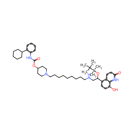 CC(C)(C)[Si](C)(C)OC(CNCCCCCCCCCN1CCC(OC(=O)Nc2ccccc2C2CCCCC2)CC1)c1ccc(O)c2[nH]c(=O)ccc12